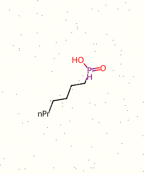 CCC[CH]CCC[PH](=O)O